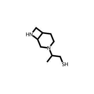 CC(CS)N1CCC2CNC2C1